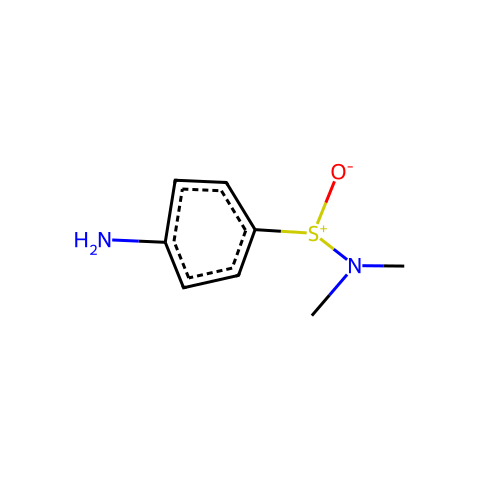 CN(C)[S+]([O-])c1ccc(N)cc1